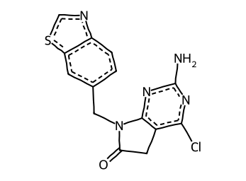 Nc1nc(Cl)c2c(n1)N(Cc1ccc3ncsc3c1)C(=O)C2